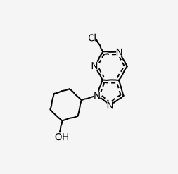 OC1CCCC(n2ncc3cnc(Cl)nc32)C1